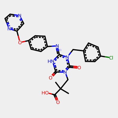 CC(C)(Cn1c(=O)[nH]/c(=N\c2ccc(Oc3cnccn3)cc2)n(Cc2ccc(Cl)cc2)c1=O)C(=O)O